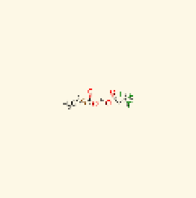 CCSC(=O)OCOC(=O)CC(F)(F)F